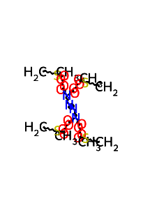 C=CCCCCSC(C)C(=O)OCCOC(=O)CCN(CCCN1CCN(CCCN(CCC(=O)OCCOC(=O)C(C)SCCCCC=C)CCC(=O)OCCOC(=O)C(C)SCCCCC=C)CC1)CCC(=O)OCCOC(=O)C(C)SCCCCC=C